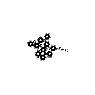 CCCCCc1ccc(Nc2ccc(N(c3ccccc3)c3ccccc3)cc2-c2cc(C(c3ccccc3)c3ccccc3)c3c4ccccc4n4c3c2Bc2cc3oc5ccccc5c3cc2-4)cc1